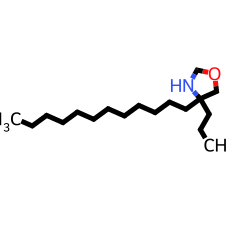 CCCCCCCCCCCCC1(CCC)COCN1